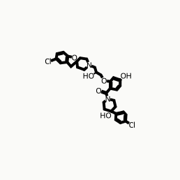 O=C(c1ccc(O)cc1OC[C@@H](O)CN1CCC2(CC1)Cc1cc(Cl)ccc1O2)N1CCC(O)(c2ccc(Cl)cc2)CC1